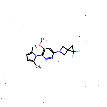 COc1cc(N2CC3(C2)CC3(F)F)nnc1-n1c(C)ccc1C